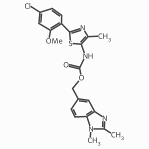 COc1cc(Cl)ccc1-c1nc(C)c(NC(=O)OCc2ccc3c(c2)nc(C)n3C)s1